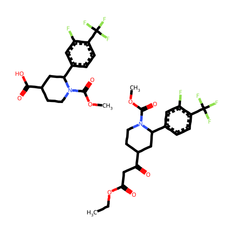 CCOC(=O)CC(=O)C1CCN(C(=O)OC)C(c2ccc(C(F)(F)F)c(F)c2)C1.COC(=O)N1CCC(C(=O)O)CC1c1ccc(C(F)(F)F)c(F)c1